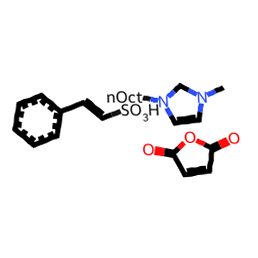 CCCCCCCCN1C=CN(C)C1.O=C1C=CC(=O)O1.O=S(=O)(O)C=Cc1ccccc1